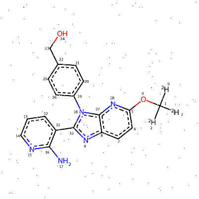 [2H]C([2H])([2H])Oc1ccc2nc(-c3cccnc3N)n(-c3ccc(CO)cc3)c2n1